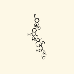 Cc1c(C=C2C(=O)Nc3ccc(S(=O)(=O)Cc4ccc(F)cc4)cc32)[nH]c2c1C(=O)N(CC(O)CN1CCOCC1)CCC2